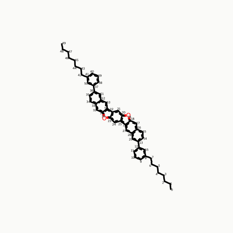 CCCCCCCCc1cccc(-c2ccc3cc4oc5cc6c(cc5c4cc3c2)oc2cc3ccc(-c4cccc(CCCCCCCC)c4)cc3cc26)c1